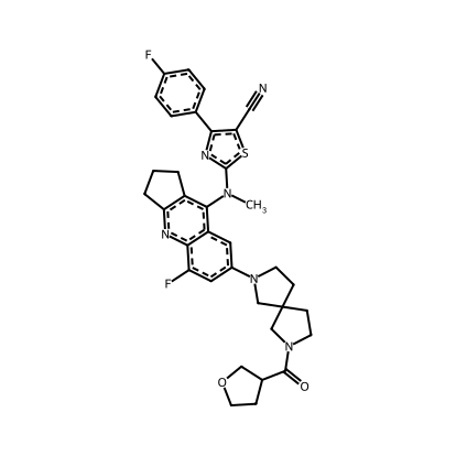 CN(c1nc(-c2ccc(F)cc2)c(C#N)s1)c1c2c(nc3c(F)cc(N4CCC5(CCN(C(=O)C6CCOC6)C5)C4)cc13)CCC2